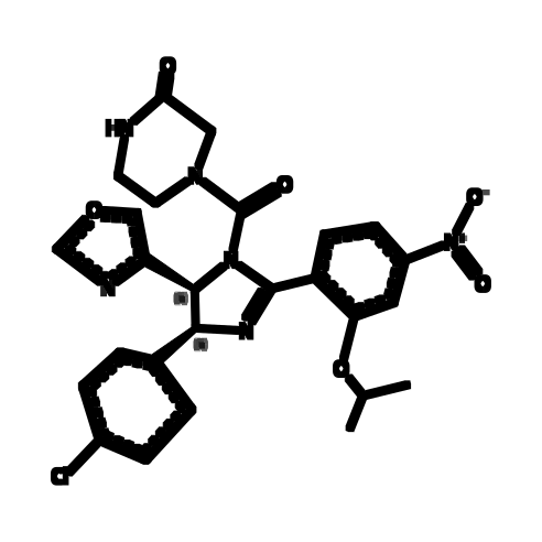 CC(C)Oc1cc([N+](=O)[O-])ccc1C1=N[C@@H](c2ccc(Cl)cc2)[C@@H](c2cocn2)N1C(=O)N1CCNC(=O)C1